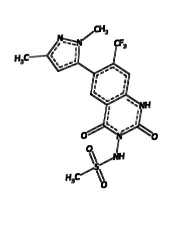 Cc1cc(-c2cc3c(=O)n(NS(C)(=O)=O)c(=O)[nH]c3cc2C(F)(F)F)n(C)n1